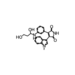 Cn1cc(C2=C(c3cccc(NC(O)CCO)c3)C(=O)NC2=O)c2ccccc21